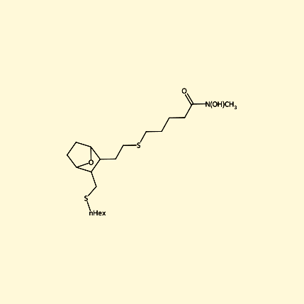 CCCCCCSCC1C2CCC(O2)C1CCSCCCCC(=O)N(C)O